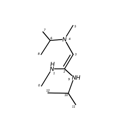 CN/C(=C\N(C)C(C)C)NC(C)C